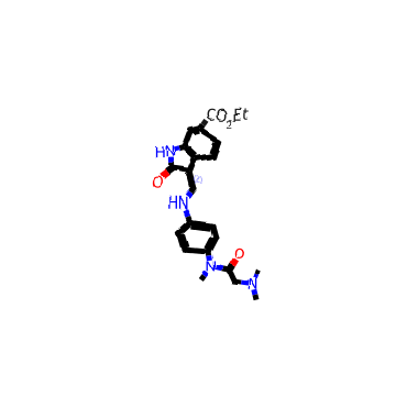 CCOC(=O)c1ccc2c(c1)NC(=O)/C2=C\Nc1ccc(N(C)C(=O)CN(C)C)cc1